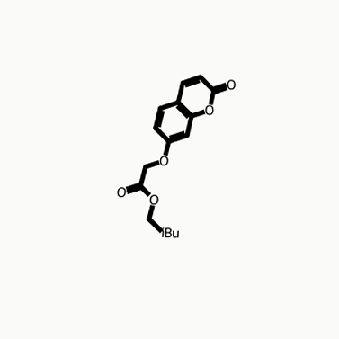 CCC(C)COC(=O)COc1ccc2ccc(=O)oc2c1